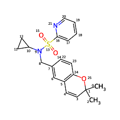 CC1(C)C=Cc2cc(CN(C3CC3)S(=O)(=O)c3ccccn3)ccc2O1